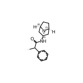 [CH2]C(C(=O)N[C@H]1C[C@H]2CC[C@@H](C1)N2C)c1ccccc1